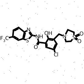 O=C(Nc1nc2ccc(C(F)(F)F)cc2s1)c1cc(Cl)cc(CN2CCS(=O)(=O)CC2)c1O